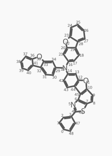 c1ccc(-c2nc3c(ccc4oc5cc(N(c6ccc7c(c6)oc6ccccc67)c6ccc7c(c6)oc6ccccc67)ccc5c43)s2)cc1